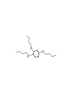 CCCCOc1[c]cc(OCCCC)c(OCCCC)c1